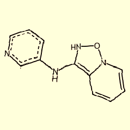 [c]1ncccc1NC1=C2C=CC=CN2ON1